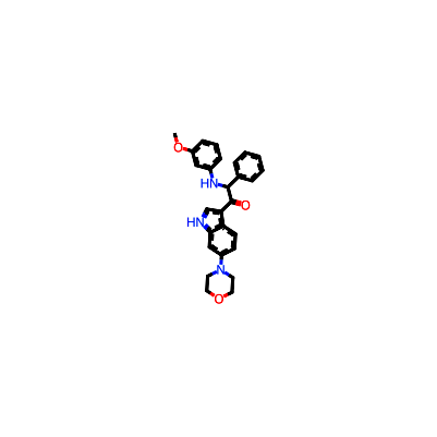 COc1cccc(NC(C(=O)c2c[nH]c3cc(N4CCOCC4)ccc23)c2ccccc2)c1